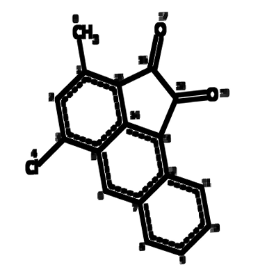 Cc1cc(Cl)c2cc3ccccc3c3c2c1C(=O)C3=O